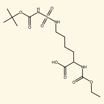 CCOC(=O)NC(CCCCNS(=O)(=O)NC(=O)OC(C)(C)C)C(=O)O